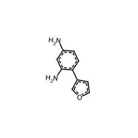 Nc1ccc(-c2ccoc2)c(N)c1